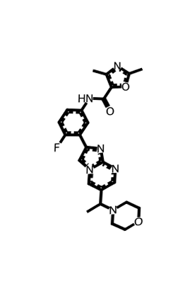 Cc1nc(C)c(C(=O)Nc2ccc(F)c(-c3cn4cc(C(C)N5CCOCC5)cnc4n3)c2)o1